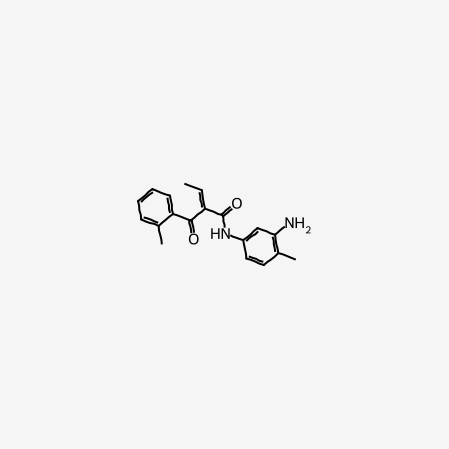 C/C=C(/C(=O)Nc1ccc(C)c(N)c1)C(=O)c1ccccc1C